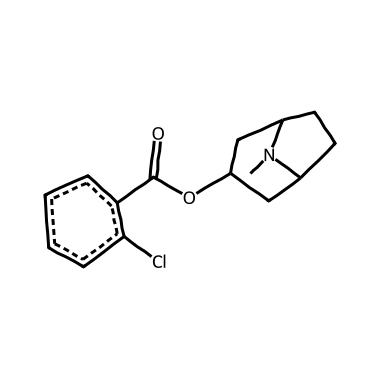 CN1C2CCC1CC(OC(=O)c1ccccc1Cl)C2